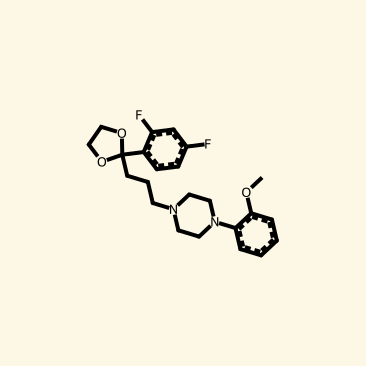 COc1ccccc1N1CCN(CCCC2(c3ccc(F)cc3F)OCCO2)CC1